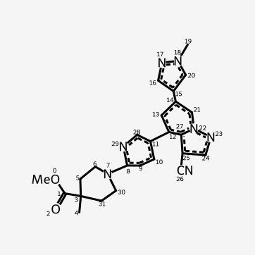 COC(=O)C1(C)CCN(c2ccc(-c3cc(-c4cnn(C)c4)cn4ncc(C#N)c34)cn2)CC1